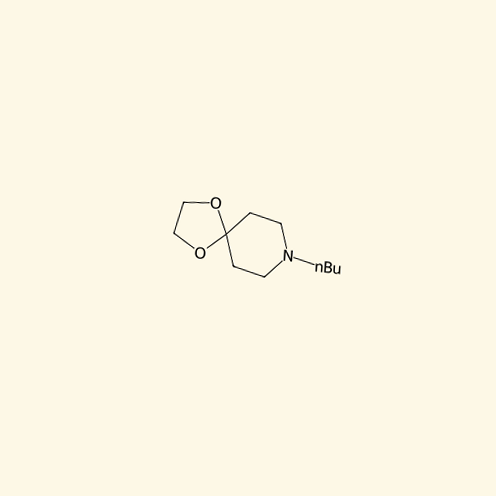 CCCCN1CCC2(CC1)OCCO2